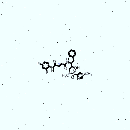 CN(CC(O)C(Cc1ccccc1)NC(=O)/C=C/C(=O)Nc1ccc(F)cc1F)S(=O)(=O)c1cn(C)cn1